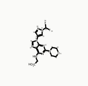 O=C(O)CNc1nc(N2CCOCC2)nc2c1ncn2-c1cnn(C(F)F)c1